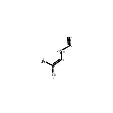 C=CN/C=C(/C#N)C(C)C